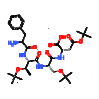 C[C@@H](OC(C)(C)C)[C@H](NC(=O)[C@@H](N)Cc1ccccc1)C(=O)N[C@@H](COC(C)(C)C)C(=O)N[C@@H](CC(=O)OC(C)(C)C)C(=O)O